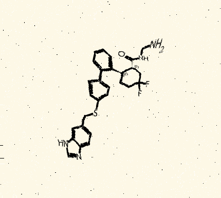 NCNC(=O)[C@@H]1CC(F)(F)CC[C@H]1c1ccccc1-c1ccc(SCc2ccc3nc[nH]c3c2)cc1